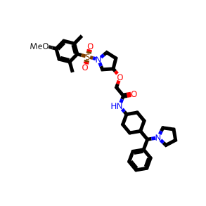 COc1cc(C)c(S(=O)(=O)N2CCC(OCC(=O)NC3CCC(C(c4ccccc4)N4CCCC4)CC3)C2)c(C)c1